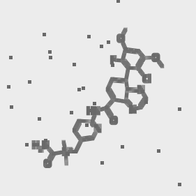 COc1cc(OC)c(Cl)c(-c2ccc(C(=O)Nc3ccc(C[N+](C)(C)C(N)=O)cn3)c3nccnc23)c1F